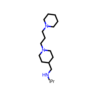 CC(C)NCC1CCN(CCCN2CCCCC2)CC1